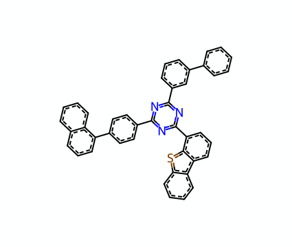 c1ccc(-c2cccc(-c3nc(-c4ccc(-c5cccc6ccccc56)cc4)nc(-c4cccc5c4sc4ccccc45)n3)c2)cc1